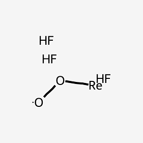 F.F.F.[O][O][Re]